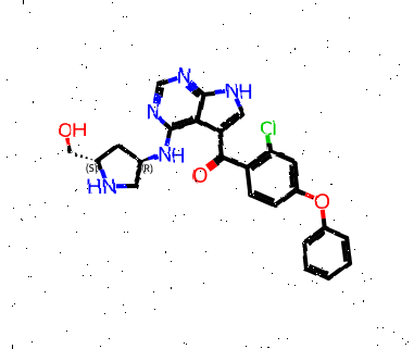 O=C(c1ccc(Oc2ccccc2)cc1Cl)c1c[nH]c2ncnc(N[C@H]3CN[C@H](CO)C3)c12